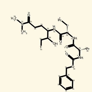 CC(C)C[C@H](NC(=O)[C@@H](NC(=O)OCc1ccccc1)C(C)C)C(=O)NC(CCC(=O)N(C)C)C(O)CF